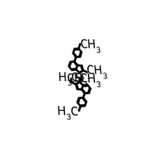 CCC1=Cc2c(-c3ccc(CC)cc3)cccc2C1[Si](C)(C)C1C(CC)=Cc2c(-c3ccc(CC)cc3)cccc21